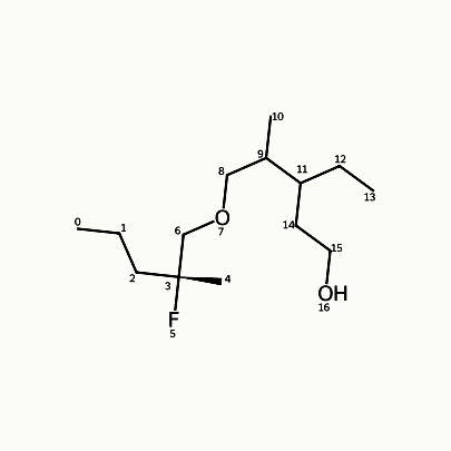 CCC[C@@](C)(F)COCC(C)C(CC)CCO